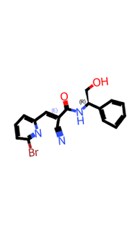 N#C/C(=C\c1cccc(Br)n1)C(=O)N[C@@H](CO)c1ccccc1